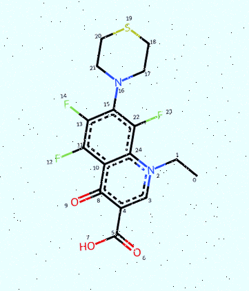 CCn1cc(C(=O)O)c(=O)c2c(F)c(F)c(N3CCSCC3)c(F)c21